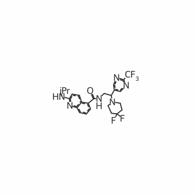 CC(C)Nc1ccc2c(C(=O)NCC(c3cnc(C(F)(F)F)nc3)N3CCC(F)(F)CC3)cccc2n1